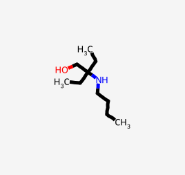 CCCCNC(CC)(CC)CO